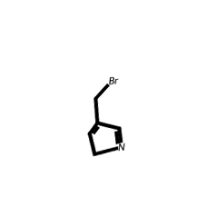 BrCC1=CCN=C1